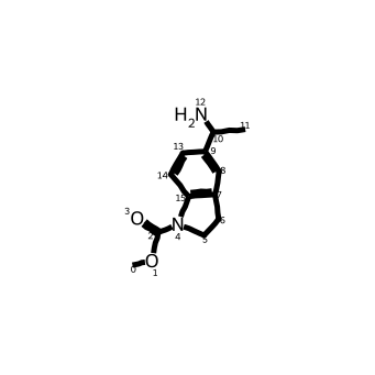 COC(=O)N1CCc2cc(C(C)N)ccc21